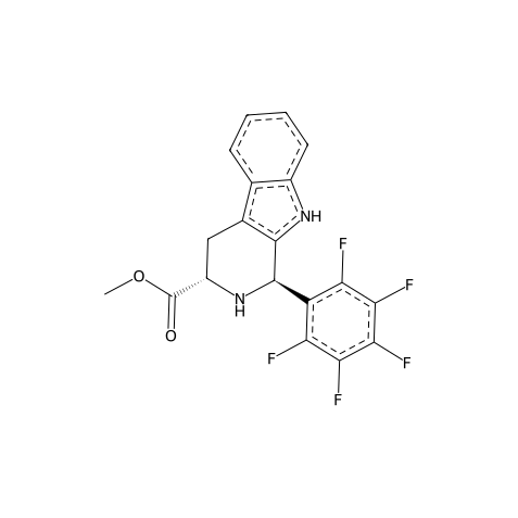 COC(=O)[C@@H]1Cc2c([nH]c3ccccc23)[C@@H](c2c(F)c(F)c(F)c(F)c2F)N1